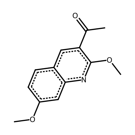 COc1ccc2cc(C(C)=O)c(OC)nc2c1